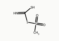 CS(=O)(=O)SC(=N)S